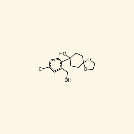 OCc1cc(Cl)ccc1C1(O)CCC2(CC1)OCCO2